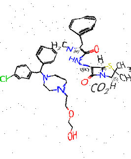 C=N[C@@H](C(=O)N[C@@H]1C(=O)N2[C@@H]1SC(C)(C)[C@@H]2C(=O)O)c1ccccc1.OCCOCCN1CCN(C(c2ccccc2)c2ccc(Cl)cc2)CC1